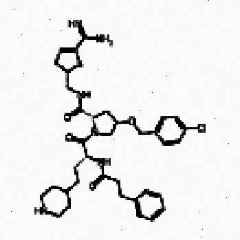 N=C(N)C1=CCC(CNC(=O)[C@@H]2C[C@@H](OCc3ccc(Cl)cc3)CN2C(=O)[C@@H](CCC2CCNCC2)NC(=O)CCc2ccccc2)S1